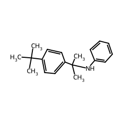 CC(C)(C)c1ccc(C(C)(C)Nc2ccccc2)cc1